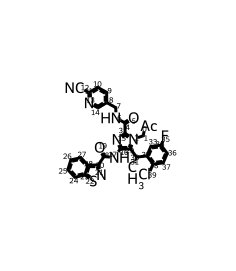 CC(=O)Cn1c(C(=O)NCc2ccc(C#N)nc2)nc(NC(=O)c2nsc3ccccc23)c1[C@H](C)c1cc(F)ccc1Cl